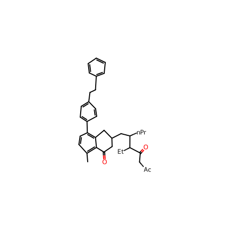 CCCC(CC1CC(=O)c2c(C)ccc(-c3ccc(CCc4ccccc4)cc3)c2C1)C(CC)C(=O)CC(C)=O